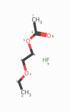 CCOCCOC(C)=O.F